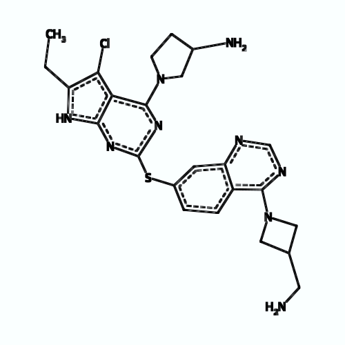 CCc1[nH]c2nc(Sc3ccc4c(N5CC(CN)C5)ncnc4c3)nc(N3CCC(N)C3)c2c1Cl